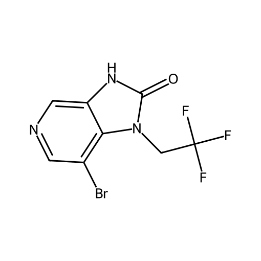 O=c1[nH]c2cncc(Br)c2n1CC(F)(F)F